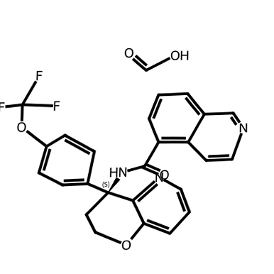 O=C(N[C@]1(c2ccc(OC(F)(F)F)cc2)CCOc2cccnc21)c1cccc2cnccc12.O=CO